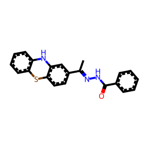 C/C(=N\NC(=O)c1ccccc1)c1ccc2c(c1)Nc1ccccc1S2